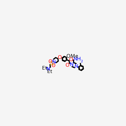 CCN(CC)CCS(=O)(=O)N1CCC(Oc2ccc(CC(=O)N3CCN(c4ccccc4C)CC3C(N)=O)c(OC)c2)CC1